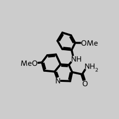 COc1ccc2c(Nc3ccccc3OC)c(C(N)=O)cnc2c1